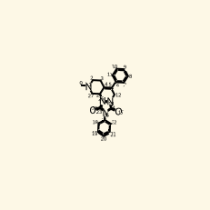 CN1CCC2=C(c3ccccc3)Cn3c(=O)n(-c4ccccc4)c(=O)n3C2C1